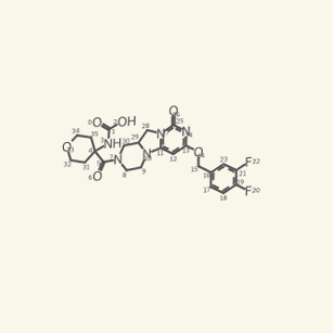 O=C(O)NC1(C(=O)N2CCN3c4cc(OCc5ccc(F)c(F)c5)nc(=O)n4CC3C2)CCOCC1